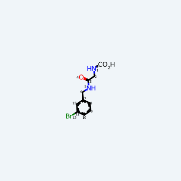 O=C(O)NCC(=O)NCc1cccc(Br)c1